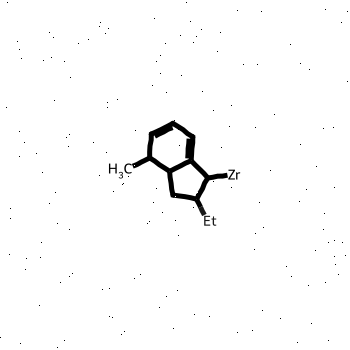 CCC1CC2C(=CC=CC2C)[CH]1[Zr]